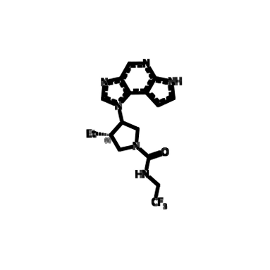 CC[C@H]1CN(C(=O)NCC(F)(F)F)CC1n1cnc2cnc3[nH]ccc3c21